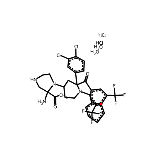 CC(=O)C1(N)CNCCN1C1CCN(Cc2ccccc2)C(C(=O)c2cc(C(F)(F)F)cc(C(F)(F)F)c2)(c2ccc(Cl)c(Cl)c2)C1.Cl.Cl.O.O